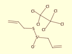 C=CCS[S+]([O-])CC=C.ClC(Cl)(Cl)C(Cl)(Cl)Cl